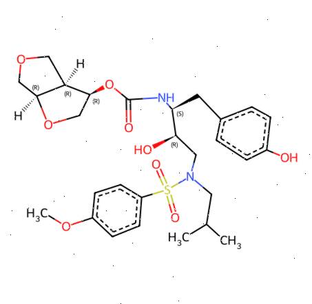 COc1ccc(S(=O)(=O)N(CC(C)C)C[C@@H](O)[C@H](Cc2ccc(O)cc2)NC(=O)O[C@H]2CO[C@H]3COC[C@H]32)cc1